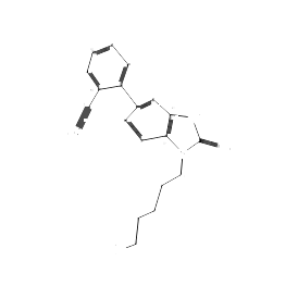 CCCCCCn1c(=O)sc2cc(-c3ccccc3C#N)ccc21